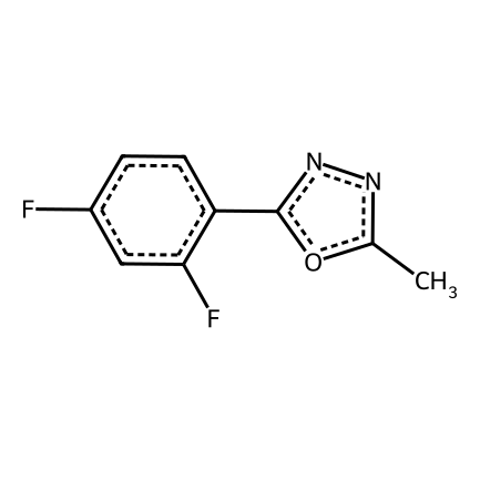 Cc1nnc(-c2ccc(F)cc2F)o1